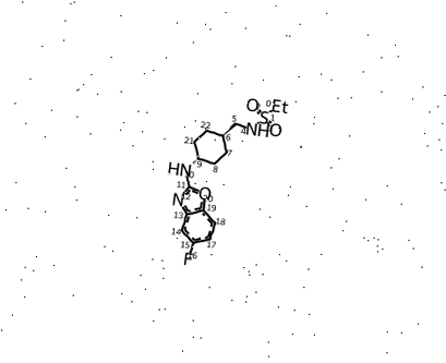 CCS(=O)(=O)NC[C@H]1CC[C@H](Nc2nc3cc(F)ccc3o2)CC1